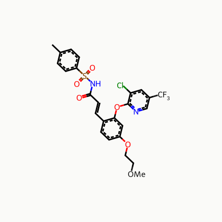 COCCOc1ccc(C=CC(=O)NS(=O)(=O)c2ccc(C)cc2)c(Oc2ncc(C(F)(F)F)cc2Cl)c1